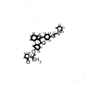 CC(COc1ccc(C(=O)c2c(-c3ccc(OCCN4CCCC4)cc3)sc3ccccc23)cc1)N1CCCC1=O